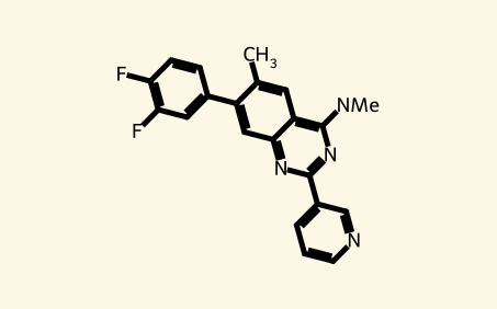 CNc1nc(-c2cccnc2)nc2cc(-c3ccc(F)c(F)c3)c(C)cc12